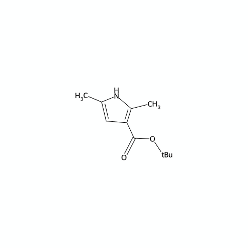 Cc1cc(C(=O)OC(C)(C)C)c(C)[nH]1